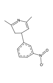 CC1=CC(c2cccc([N+](=O)[O-])c2)CC(C)=N1